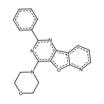 c1ccc(-c2nc(N3CCOCC3)c3oc4ncccc4c3n2)cc1